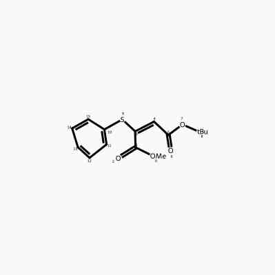 COC(=O)/C(=C\C(=O)OC(C)(C)C)Sc1ccccc1